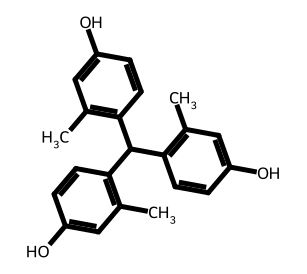 Cc1cc(O)ccc1C(c1ccc(O)cc1C)c1ccc(O)cc1C